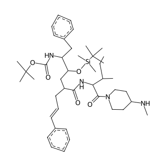 CCC(C)C(NC(=O)C(CC=Cc1ccccc1)CC(O[Si](C)(C)C(C)(C)C)C(Cc1ccccc1)NC(=O)OC(C)(C)C)C(=O)N1CCC(NC)CC1